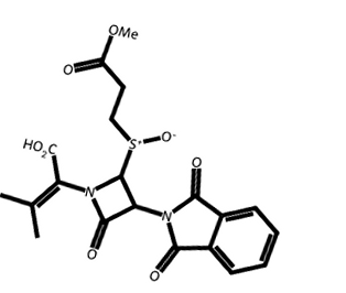 COC(=O)CC[S+]([O-])C1C(N2C(=O)c3ccccc3C2=O)C(=O)N1C(C(=O)O)=C(C)C